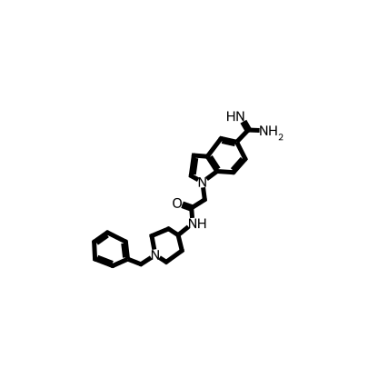 N=C(N)c1ccc2c(ccn2CC(=O)NC2CCN(Cc3ccccc3)CC2)c1